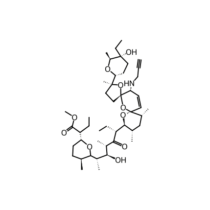 C#CCN[C@@H]1C=C[C@]2(O[C@H]([C@@H](CC)C(=O)[C@@H](C)[C@@H](O)[C@H](C)C3O[C@@H](C(CC)C(=O)OC)CC[C@@H]3C)[C@@H](C)C[C@H]2C)O[C@@]12CC[C@@](C)([C@H]1CC[C@](O)(CC)[C@H](C)O1)O2